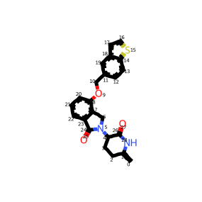 C=C1CCC(N2Cc3c(OCc4ccc5sccc5c4)cccc3C2=O)C(=O)N1